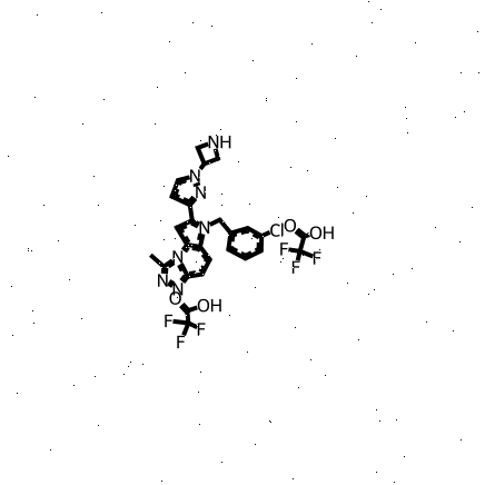 Cc1nnc2ccc3c(cc(-c4ccn(C5CNC5)n4)n3Cc3cccc(Cl)c3)n12.O=C(O)C(F)(F)F.O=C(O)C(F)(F)F